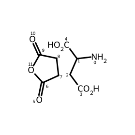 NC(CC(=O)O)C(=O)O.O=C1CCC(=O)O1